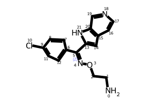 NCCO/N=C(/c1ccc(Cl)cc1)c1cc2ccncc2[nH]1